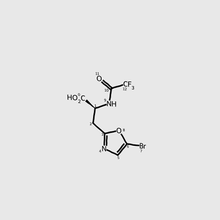 O=C(O)[C@H](Cc1ncc(Br)o1)NC(=O)C(F)(F)F